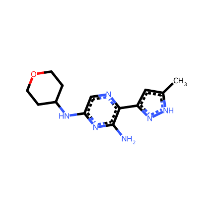 Cc1cc(-c2ncc(NC3CCOCC3)nc2N)n[nH]1